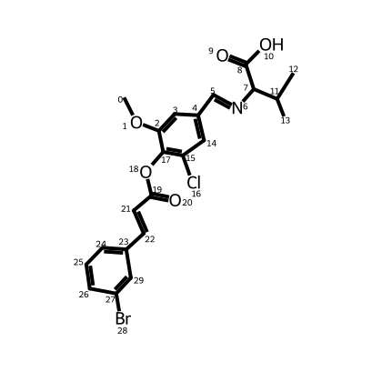 COc1cc(/C=N/C(C(=O)O)C(C)C)cc(Cl)c1OC(=O)/C=C/c1cccc(Br)c1